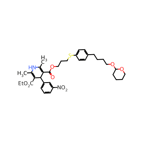 CCOC(=O)C1=C(C)NC(C)=C(C(=O)OCCCSc2ccc(CCCCOC3CCCCO3)cc2)C1c1cccc([N+](=O)[O-])c1